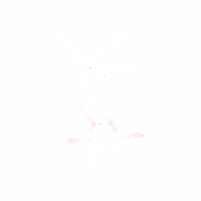 C=C(CC(=O)O)C(=O)OCCC[Si](CCC)(CCC)CCC